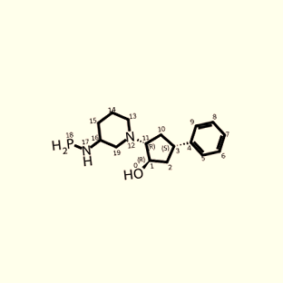 O[C@@H]1C[C@@H](c2ccccc2)C[C@H]1N1CCCC(NP)C1